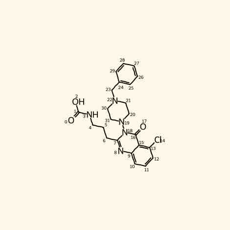 O=C(O)NCCCc1nc2cccc(Cl)c2c(=O)n1N1CCN(Cc2ccccc2)CC1